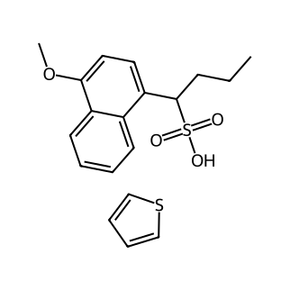 CCCC(c1ccc(OC)c2ccccc12)S(=O)(=O)O.c1ccsc1